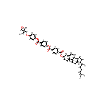 CCC1(COc2ccc(OC(=O)c3ccc(OC(=O)c4ccc(C(=O)OC5CCC6(C)C(=CCC7C6CCC6(C)C(C(C)CCCC(C)C)CCC76)C5)cc4)cc3)cc2)COC1